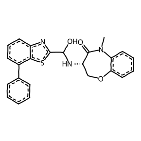 CN1C(=O)[C@@H](NC(O)c2nc3cccc(-c4ccccc4)c3s2)COc2ccccc21